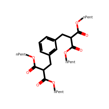 CCCCCOC(=O)C(Cc1[c]ccc(CC(C(=O)OCCCCC)C(=O)OCCCCC)c1)C(=O)OCCCCC